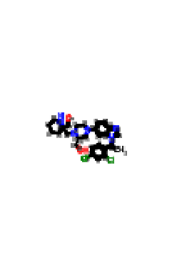 CC(c1ccc(Cl)cc1Cl)n1cnc2ccc(N3CCN(CC4(C=O)CCCCN4)[C@H](CO)C3)cc21